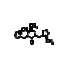 CN1C/C(=C\c2cccn2C)C(=O)/C(=C/c2cccn2C)C1